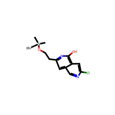 CC(C)(C)[Si](C)(C)OCCc1cc2cnc(Cl)cc2c(O)n1